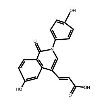 O=C(O)C=Cc1cn(-c2ccc(O)cc2)c(=O)c2ccc(O)cc12